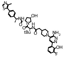 Cc1ncsc1-c1ccc([C@H](C)NC(=O)[C@@H]2C[C@@H](O)CN2C(=O)[C@@H](NC(=O)CC2CCN(c3cc(-c4cccc(F)c4O)nnc3N)CC2)C(C)(C)C)cc1